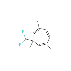 CC1=CC(C)(C(F)F)C=C(C)C=C1